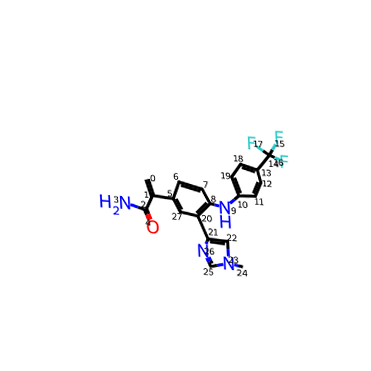 C=C(C(N)=O)c1ccc(Nc2ccc(C(F)(F)F)cc2)c(-c2cn(C)cn2)c1